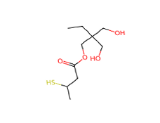 CCC(CO)(CO)COC(=O)CC(C)S